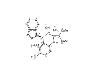 CCOC(=O)c1cc2ccccc2n1[C@@H]1c2cc([N+](=O)[O-])ccc2O[C@](C)(C(OC)OC)[C@H]1O